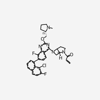 C=CC(=O)N1CCC2[C@H]1CN2c1nc(OC[C@@H]2CCCN2C)nc2c(F)c(-c3cccc4ccc(F)c(Cl)c34)ccc12